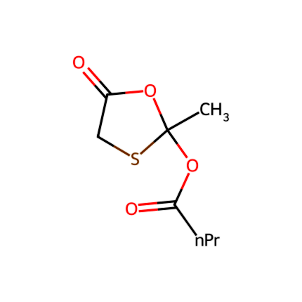 CCCC(=O)OC1(C)OC(=O)CS1